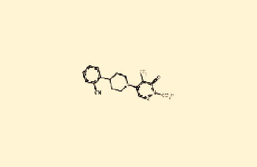 N#Cc1ccccc1C1CCN(c2cnn(C(=O)O)c(=O)c2C(F)(F)F)CC1